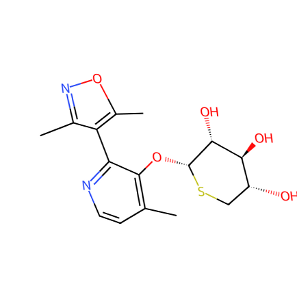 Cc1ccnc(-c2c(C)noc2C)c1O[C@H]1SC[C@@H](O)[C@H](O)[C@H]1O